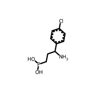 NC(CCP(O)O)c1ccc(Cl)cc1